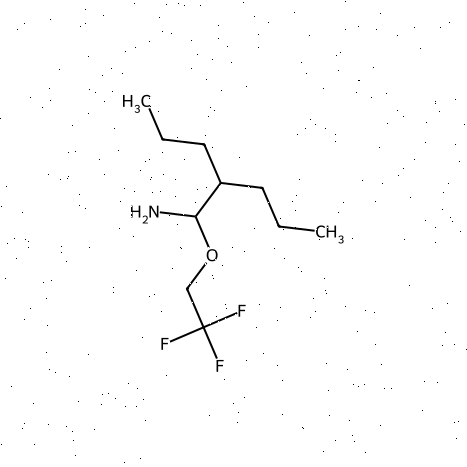 CCCC(CCC)C(N)OCC(F)(F)F